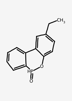 CCc1ccc2c(c1)-c1ccccc1[PH](=O)O2